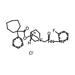 O=C(C[N+]12CCC(CC1)[C@@H](OC(=O)C1(c3ccccc3)CCCCCC1)C2)Nc1ncccc1F.[Cl-]